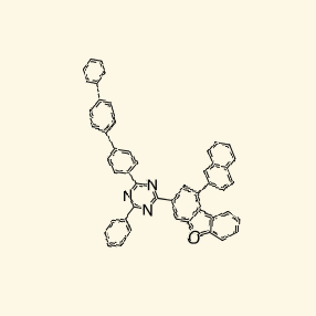 c1ccc(-c2ccc(-c3ccc(-c4nc(-c5ccccc5)nc(-c5cc(-c6ccc7ccccc7c6)c6c(c5)oc5ccccc56)n4)cc3)cc2)cc1